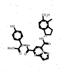 COC(=O)[C@H](NC(=O)c1cc(C(=O)N[C@H]2CCc3c2ccc(C(=O)O)c3C)n2nccc2n1)c1ccc(O)cc1